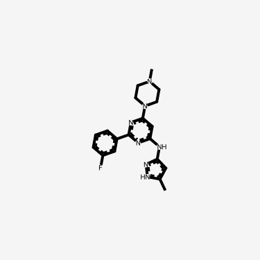 Cc1cc(Nc2cc(N3CCN(C)CC3)nc(-c3cccc(F)c3)n2)n[nH]1